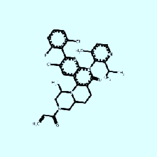 C=CC(=O)N1CC(C)N2c3c(c(=O)n(-c4c(C)ccnc4C(C)C)c4nc(-c5c(O)cccc5F)c(Cl)cc34)CCC2C1